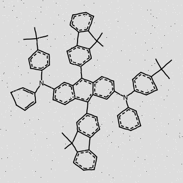 CC(C)(C)c1ccc(N(C2=CCCC=C2)c2ccc3c(-c4ccc5c(c4)C(C)(C)c4ccccc4-5)c4cc(N(c5ccccc5)c5ccc(C(C)(C)C)cc5)ccc4c(-c4ccc5c(c4)C(C)(C)c4ccccc4-5)c3c2)cc1